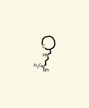 [CH2]CCN(C)CCCNCC1CCCCCCCCCC1